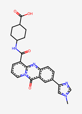 Cn1cnc(-c2ccc3nc4c(C(=O)NC5CCC(C(=O)O)CC5)cccn4c(=O)c3c2)c1